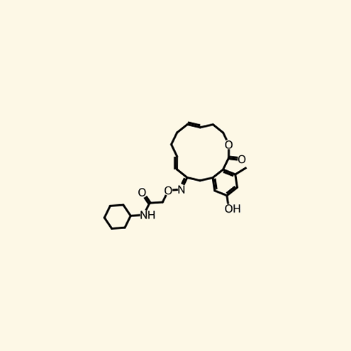 Cc1cc(O)cc2c1C(=O)OCC/C=C/CC/C=C/C(=N\OCC(=O)NC1CCCCC1)C2